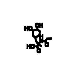 C=CC(=O)NC(C)(CC1CCC(O)C(O)C1)C(=O)O